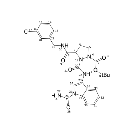 CC(C)(C)OC(=O)N1CCC(C(=O)NCc2cccc(Cl)c2)N1C(=O)Nc1cn(C(N)=O)c2ccccc12